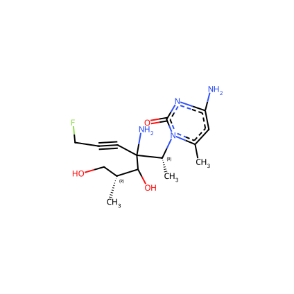 Cc1cc(N)nc(=O)n1[C@H](C)C(N)(C#CCF)C(O)[C@H](C)CO